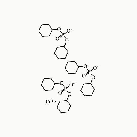 O=P([O-])(OC1CCCCC1)OC1CCCCC1.O=P([O-])(OC1CCCCC1)OC1CCCCC1.O=P([O-])(OC1CCCCC1)OC1CCCCC1.[Cr+3]